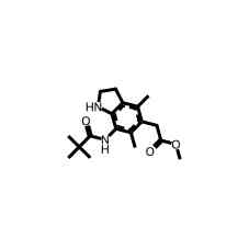 COC(=O)Cc1c(C)c2c(c(NC(=O)C(C)(C)C)c1C)NCC2